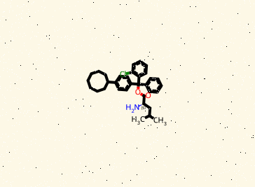 CC(C)C[C@H](N)C(=O)OC(c1ccccc1)(c1ccc(C2CCCCCCC2)cc1)c1ccccc1Cl